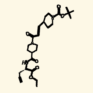 C#CC[C@H](NC(=O)C1CCN(C(=O)/C=C/C2CCN(C(=O)OC(C)(C)C)CC2)CC1)C(=O)OCC